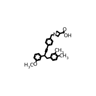 COc1cccc(C(C#Cc2ccc(CN3CC(C(=O)O)C3)cc2)Cc2ccc(C)c(C)c2)c1